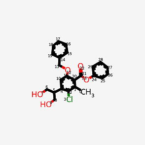 Cc1c(Cl)c(C(CO)CO)cc(OCc2ccccc2)c1C(=O)Oc1ccccc1